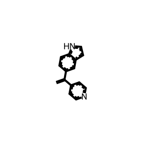 C=C(c1ccncc1)c1ccc2[nH]ccc2c1